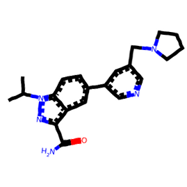 CC(C)n1nc(C(N)=O)c2cc(-c3cncc(CN4CCCC4)c3)ccc21